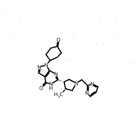 C[C@@H]1CN(Cc2ncccn2)C[C@H]1c1nc2c(cnn2C2CCC(=O)CC2)c(=O)[nH]1